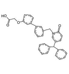 O=C(O)COc1cccc(-c2cccc(Cn3cc(C(c4ccccc4)c4ccccc4)ccc3=O)c2)c1